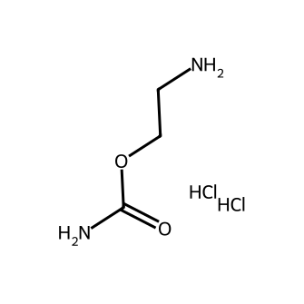 Cl.Cl.NCCOC(N)=O